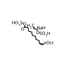 C=CCOS(=O)(=O)O.CCCCCCCC/C=C\CCCCCCCC(=O)OS(=O)(=O)O.[NaH]